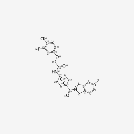 Cc1ccc2c(c1)CN(C(=O)C13CCC(NC(=O)COc4ccc(Cl)c(F)c4)(CC1)CC3)C2